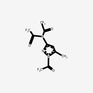 Cc1cc(N(C(=O)C(F)(F)F)C(=O)C(F)(F)F)nn1C(=O)C(F)(F)F